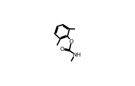 CNC(=O)Oc1c(C)cccc1C